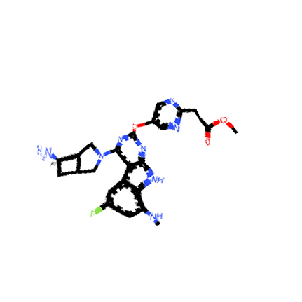 CNc1cc(F)cc2c1[nH]c1nc(Oc3cnc(CC(=O)OC)nc3)nc(N3CC4C[C@@H](N)C4C3)c12